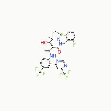 C=C(Nc1ccc(C(F)(F)F)cc1-c1cc(C(F)(F)F)ncn1)C1=C(O)C2(C)CCCN2N(Cc2c(F)cccc2F)C1=O